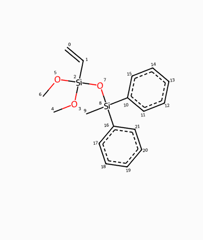 C=C[Si](OC)(OC)O[Si](C)(c1ccccc1)c1ccccc1